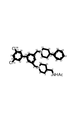 CC(=O)NCC1CCN(Cc2cc(CN3CCC(c4ccccc4)CC3)cc(-c3cc(Cl)cc(Cl)c3)c2)CC1